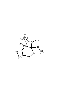 CO.COC1(OC)CCCC[Si]1(OC)OC